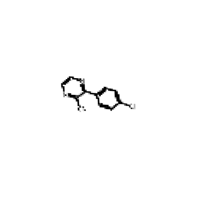 N#Cc1nccnc1-c1ccc(Cl)cc1